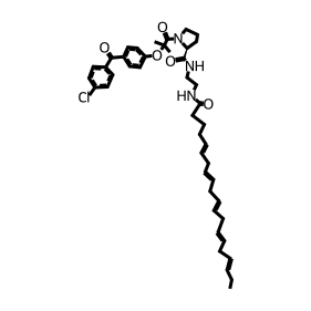 CCC=CCC=CCC=CCC=CCC=CCCCC(=O)NCCNC(=O)[C@@H]1CCCN1C(=O)C(C)(C)Oc1ccc(C(=O)c2ccc(Cl)cc2)cc1